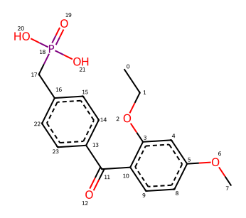 CCOc1cc(OC)ccc1C(=O)c1ccc(CP(=O)(O)O)cc1